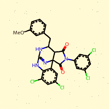 COc1cccc(CC2NC3=NC4(C(=O)N(c5cc(Cl)cc(Cl)c5)C(=O)C24)c2cc(Cl)cc(Cl)c2N3)c1